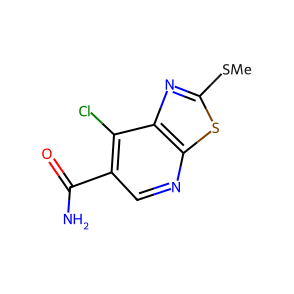 CSc1nc2c(Cl)c(C(N)=O)cnc2s1